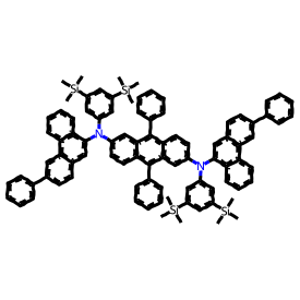 C[Si](C)(C)c1cc(N(c2ccc3c(-c4ccccc4)c4cc(N(c5cc([Si](C)(C)C)cc([Si](C)(C)C)c5)c5cc6ccc(-c7ccccc7)cc6c6ccccc56)ccc4c(-c4ccccc4)c3c2)c2cc3ccc(-c4ccccc4)cc3c3ccccc23)cc([Si](C)(C)C)c1